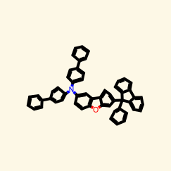 c1ccc(-c2ccc(N(c3ccc(-c4ccccc4)cc3)c3ccc4oc5cc(C6(c7ccccc7)c7ccccc7-c7ccccc76)ccc5c4c3)cc2)cc1